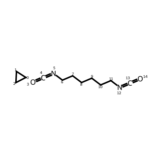 C1CC1.O=C=NCCCCCCN=C=O